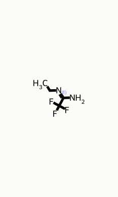 CC/N=C(/N)C(F)(F)F